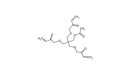 C=CC(=O)COCC(COCC(=O)C=C)(COCC(=O)C=C)COC(C)=O